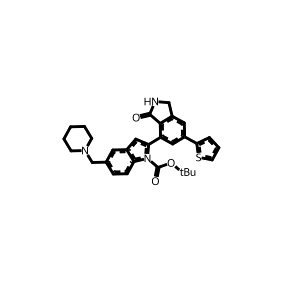 CC(C)(C)OC(=O)n1c(-c2cc(-c3cccs3)cc3c2C(=O)NC3)cc2cc(CN3CCCCC3)ccc21